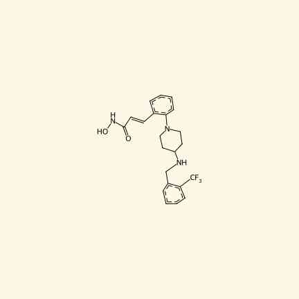 O=C(/C=C/c1ccccc1N1CCC(NCc2ccccc2C(F)(F)F)CC1)NO